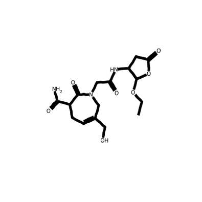 CCOC1OC(=O)CC1NC(=O)CN1CC(CO)=CCC(C(N)=O)C1=O